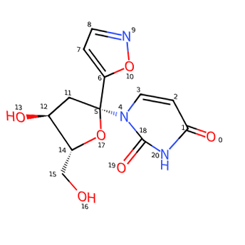 O=c1ccn([C@@]2(c3ccno3)C[C@H](O)[C@@H](CO)O2)c(=O)[nH]1